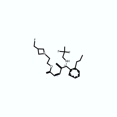 C=C(/C=C\C(=C)[C@H](NCC(C)(F)F)c1ccccc1CCC)OCCN1CC(CF)C1